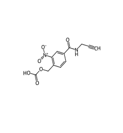 C#CCNC(=O)c1ccc(COC(=O)O)c([N+](=O)[O-])c1